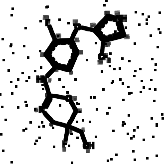 OCC1(F)CN=C(Nc2ccc(Oc3c[nH]cc3C(F)(F)F)c(F)c2)OC1